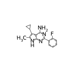 Cc1[nH]c2nc(-c3ccccc3F)nc(N)c2c1C1CC1